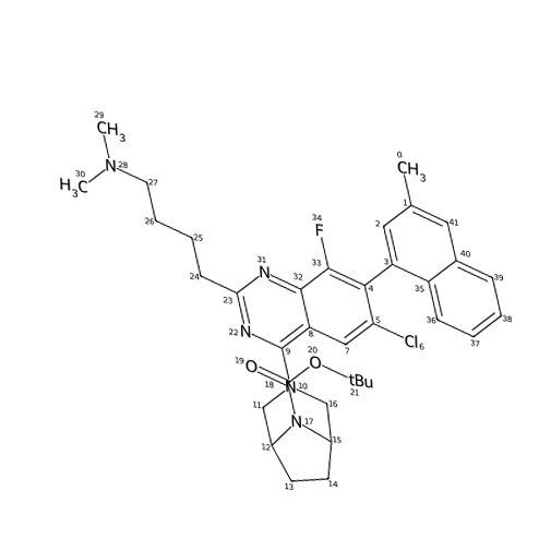 Cc1cc(-c2c(Cl)cc3c(N4CC5CCC(C4)N5C(=O)OC(C)(C)C)nc(CCCCN(C)C)nc3c2F)c2ccccc2c1